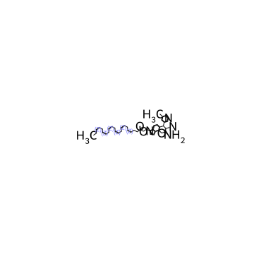 CC/C=C\C/C=C\C/C=C\C/C=C\C/C=C\C/C=C\CCC(=O)OCn1ccc2c3c(ccc21)C(c1cncc(C)c1)C(C#N)=C(N)O3